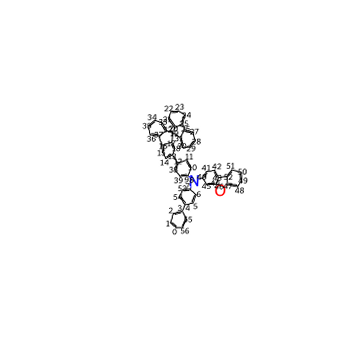 c1ccc(-c2ccc(N(c3ccc(-c4ccc5c(c4)C4(c6ccccc6-c6ccccc64)c4ccccc4-5)cc3)c3ccc4c(c3)oc3ccccc34)cc2)cc1